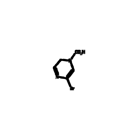 O=C(O)N1C=C(Br)N=CC1